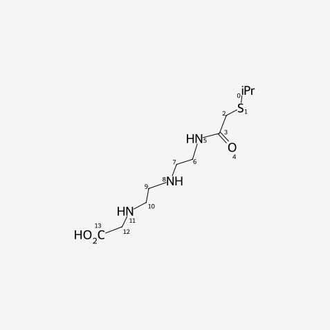 CC(C)SCC(=O)NCCNCCNCC(=O)O